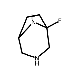 FC12CCC(CNC1)N2